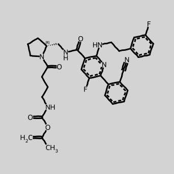 C=C(C)OC(=O)NCCCC(=O)N1CCC[C@@H]1CNC(=O)c1cc(F)c(-c2ccccc2C#N)nc1NCCc1cccc(F)c1